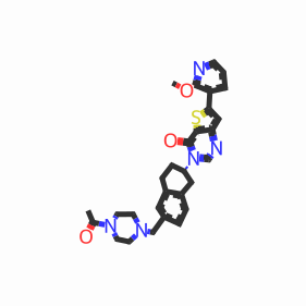 COc1ncccc1-c1cc2ncn([C@H]3CCc4cc(CN5CCN(C(C)=O)CC5)ccc4C3)c(=O)c2s1